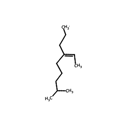 [CH2]CCC(=CC)CCCC(C)C